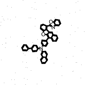 c1ccc(-c2ccc(N(c3ccc(-c4c5ccccc5cc5c4oc4cccc(-c6nc7ccccc7o6)c45)cc3)c3ccc4ccccc4c3)cc2)cc1